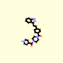 O=C(c1ccc(C=Cc2n[nH]c3ccccc23)cc1)N1CCN(C(=O)C2CCNCC2)CC1